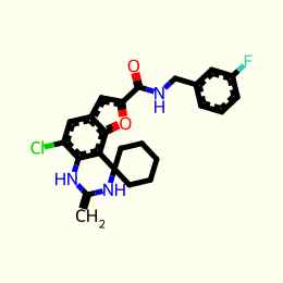 C=C1Nc2c(Cl)cc3cc(C(=O)NCc4cccc(F)c4)oc3c2C2(CCCCC2)N1